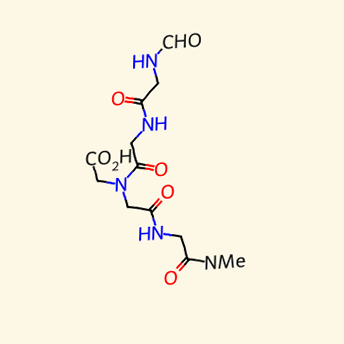 CNC(=O)CNC(=O)CN(CC(=O)O)C(=O)CNC(=O)CNC=O